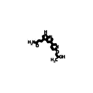 C[C@@H](O)COc1ccc(-c2cnc3[nH]cc(C=CC(N)=O)c3c2)cn1